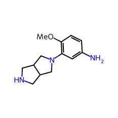 COc1ccc(N)cc1N1CC2CNCC2C1